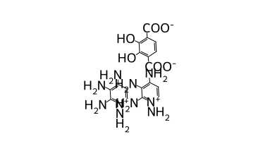 Nc1cc[n+](N)c(N)c1N.Nc1cc[n+](N)c(N)c1N.O=C([O-])c1ccc(C(=O)[O-])c(O)c1O